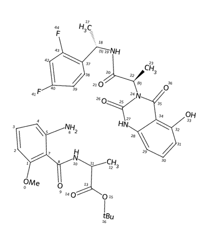 COc1cccc(N)c1C(=O)NC(C)C(=O)OC(C)(C)C.C[C@H](NC(=O)[C@@H](C)n1c(=O)[nH]c2cccc(O)c2c1=O)c1ccc(F)cc1F